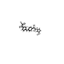 COC1CCC(OC(=O)Nc2ccc(Cc3ccc(NC(C)=O)cc3)cc2)C1